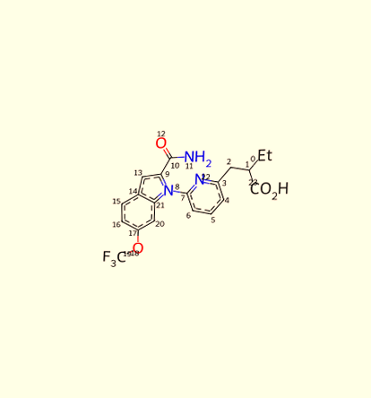 CCC(Cc1cccc(-n2c(C(N)=O)cc3ccc(OC(F)(F)F)cc32)n1)C(=O)O